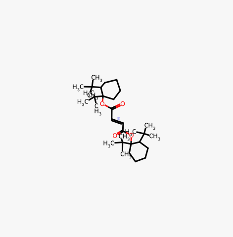 CC(C)(C)C1CCCCC1(OC(=O)/C=C/C(=O)OC1(C(C)(C)C)CCCCC1C(C)(C)C)C(C)(C)C